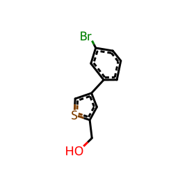 OCc1cc(-c2cccc(Br)c2)cs1